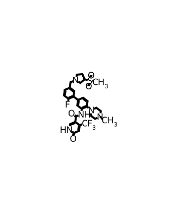 CN1CCN(c2ccc(-c3cc(CN4CCC(S(C)(=O)=O)C4)ccc3F)cc2NC(=O)c2c[nH]c(=O)cc2C(F)(F)F)CC1